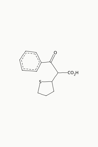 O=C(O)C(C(=O)c1ccccc1)C1CCCS1